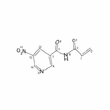 C=CC(=O)NC(=O)c1cncc([N+](=O)[O-])c1